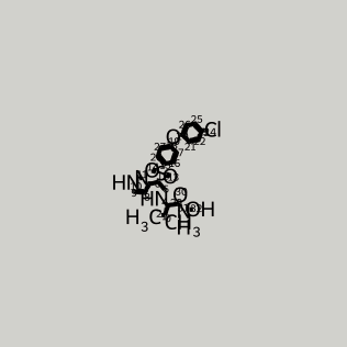 CC(C)[C@@H](NCC(c1cc[nH]n1)S(=O)(=O)c1ccc(Oc2ccc(Cl)cc2)cc1)C(=O)NO